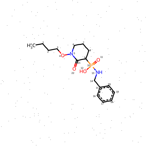 CCCCON1CCCC(P(=O)(O)NCc2ccccc2)C1=O